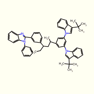 CCC(CC(C)c1cc(-n2cc(C(C)(C)C)c3ccccc32)cc(-n2cc(C(C)(C)C)c3ccccc32)c1)c1cccc(-c2nc3ccccc3n2-c2ccccc2)c1